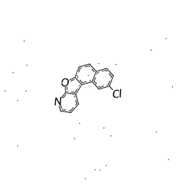 Clc1ccc2ccc3oc4ncccc4c3c2c1